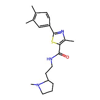 Cc1ccc(-c2nc(C)c(C(=O)NCCC3CCCN3C)s2)cc1C